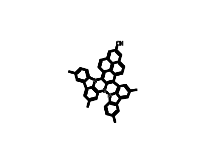 Cc1ccc2c(c1)c1cc(C)cc3c1n2B1c2c-3c3ccc4cc(C#N)cc5ccc(c2-n2c6ccc(C)cc6c6cc(C)cc1c62)c3c45